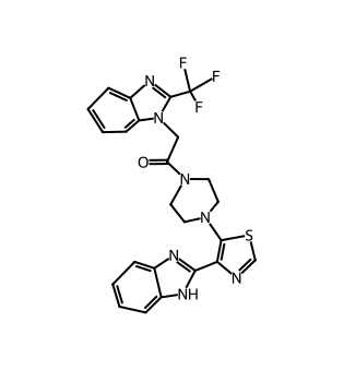 O=C(Cn1c(C(F)(F)F)nc2ccccc21)N1CCN(c2scnc2-c2nc3ccccc3[nH]2)CC1